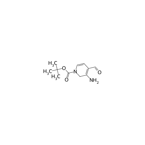 CC(C)(C)OC(=O)N1C=CC(C=O)=C(N)C1